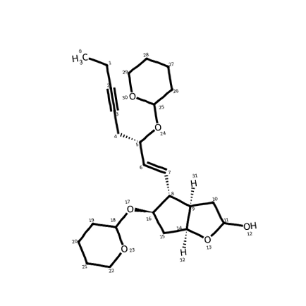 CCC#CC[C@@H](/C=C/[C@@H]1[C@H]2CC(O)O[C@H]2C[C@H]1OC1CCCCO1)OC1CCCCO1